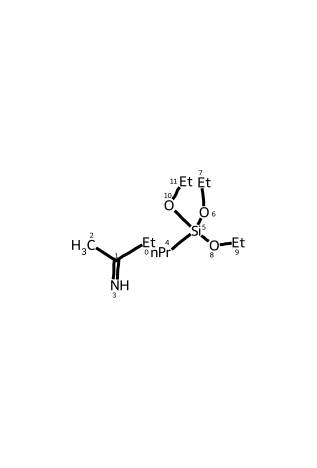 CCC(C)=N.CCC[Si](OCC)(OCC)OCC